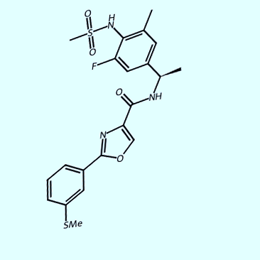 CSc1cccc(-c2nc(C(=O)N[C@H](C)c3cc(C)c(NS(C)(=O)=O)c(F)c3)co2)c1